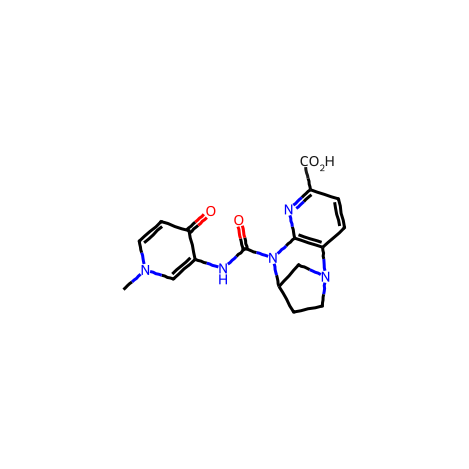 Cn1ccc(=O)c(NC(=O)N2c3nc(C(=O)O)ccc3N3CCC2C3)c1